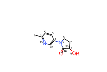 Cc1ccc(N2CC[C@@H](O)C2=O)cn1